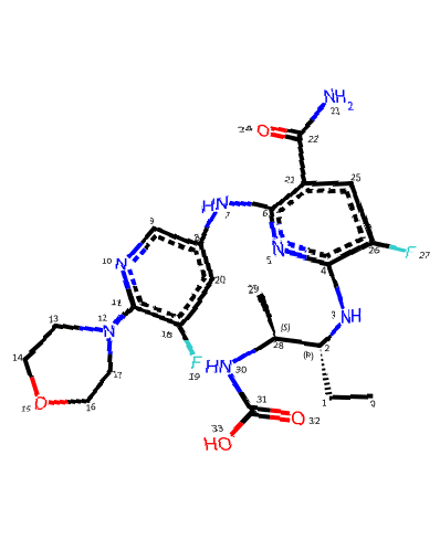 CC[C@@H](Nc1nc(Nc2cnc(N3CCOCC3)c(F)c2)c(C(N)=O)cc1F)[C@H](C)NC(=O)O